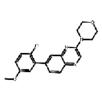 COc1ccc(Cl)c(-c2ccc3ncc(N4CCOCC4)nc3c2)c1